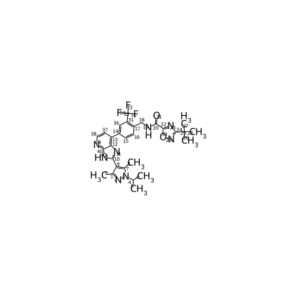 Cc1nn(C(C)C)c(C)c1-c1nc2c(-c3ccc(CNC(=O)c4nc(C(C)(C)C)no4)c(C(F)(F)F)c3)ccnc2[nH]1